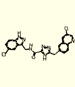 O=C(NCc1n[nH]c2ccc(Cl)cc12)c1nnc(Cc2ccc3ncc(Cl)cc3c2)[nH]1